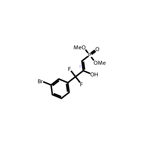 COP(=O)(/C=C(\O)C(F)(F)c1cccc(Br)c1)OC